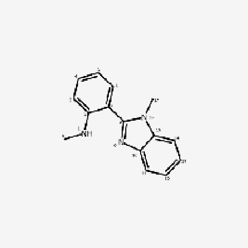 CNc1ccccc1-c1nc2ccccc2n1C